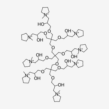 C[N+]1(CC(O)COCC(COCC(O)C[N+]2(C)CCCC2)(COCC(O)C[N+]2(C)CCCC2)COCC(COCC(O)C[N+]2(C)CCCC2)(COCC(O)C[N+]2(C)CCCC2)COCC(COCC(O)C[N+]2(C)CCCC2)(COCC(O)C[N+]2(C)CCCC2)COCC(O)C[N+]2(C)CCCC2)CCCC1